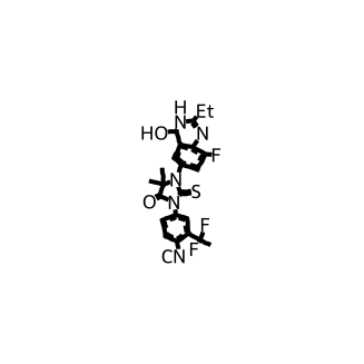 CCC1=Nc2c(F)cc(N3C(=S)N(c4ccc(C#N)c(C(C)(F)F)c4)C(=O)C3(C)C)cc2C(O)N1